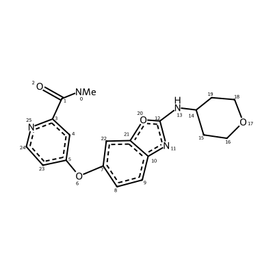 CNC(=O)c1cc(Oc2ccc3nc(NC4CCOCC4)oc3c2)ccn1